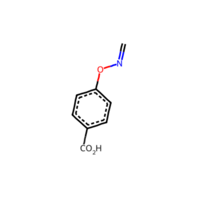 C=NOc1ccc(C(=O)O)cc1